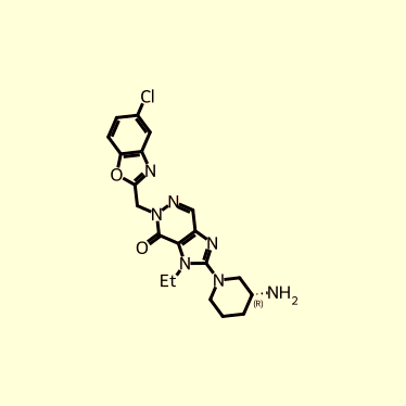 CCn1c(N2CCC[C@@H](N)C2)nc2cnn(Cc3nc4cc(Cl)ccc4o3)c(=O)c21